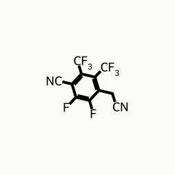 N#CCc1c(F)c(F)c(C#N)c(C(F)(F)F)c1C(F)(F)F